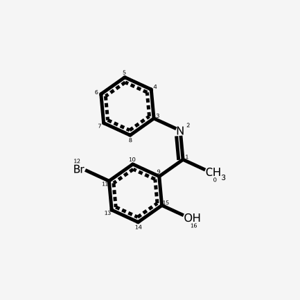 CC(=Nc1ccccc1)c1cc(Br)ccc1O